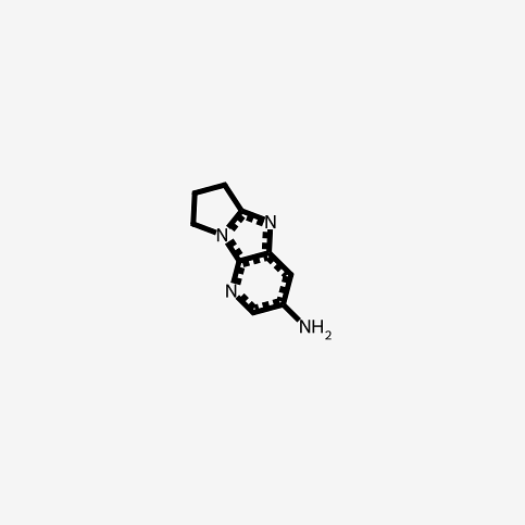 Nc1cnc2c(c1)nc1n2CCC1